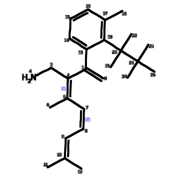 C=C(/C(CN)=C(C)\C=C/C=C(C)C)c1cccc(C)c1C(C)(C)C(C)(C)C